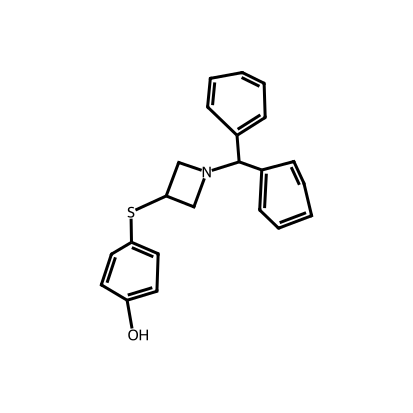 Oc1ccc(SC2CN(C(c3ccccc3)c3ccccc3)C2)cc1